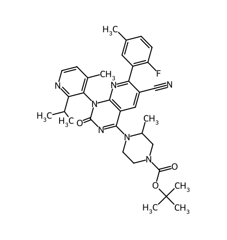 Cc1ccc(F)c(-c2nc3c(cc2C#N)c(N2CCN(C(=O)OC(C)(C)C)CC2C)nc(=O)n3-c2c(C)ccnc2C(C)C)c1